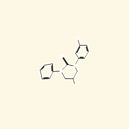 CC1CN(c2ccccc2)C(=O)N(c2cccc(Cl)c2)C1